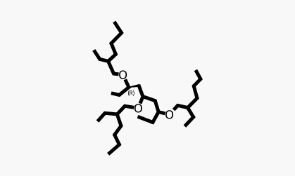 CCCCC(CC)COC(CC)CC(C[C@@H](CC)OCC(CC)CCCC)OCC(CC)CCCC